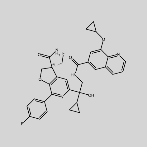 NC(=O)[C@]1(CF)COc2c1cc(C(O)(CNC(=O)c1cc(OC3CC3)c3ncccc3c1)C1CC1)nc2-c1ccc(F)cc1